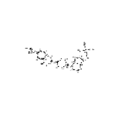 CSNc1ccc(CC(=O)N2CCN(C3=NC=NC4SC(CC(F)(F)F)=CC34)CC2)c(Cl)c1